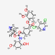 COc1ccc(O)c(N(Cc2ccc(C(=O)O[C@@H](Cc3c(Cl)cncc3Cl)c3ccc(OC)c(OC)c3)cc2)C(=O)O[C@H]2CN3CCC2CC3)c1